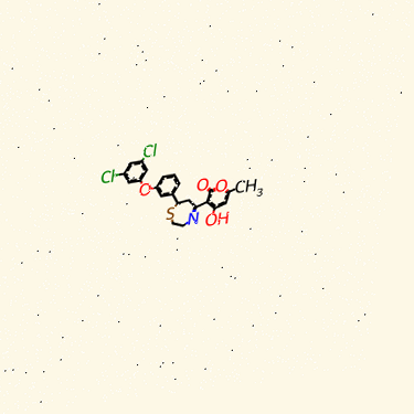 Cc1cc(O)c(C2=NCCSC(c3cccc(Oc4cc(Cl)cc(Cl)c4)c3)C2)c(=O)o1